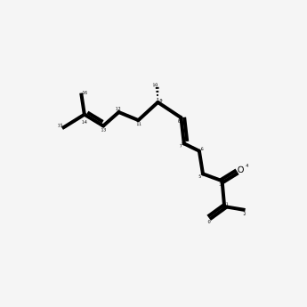 C=C(C)C(=O)CC/C=C/[C@@H](C)CCC=C(C)C